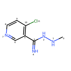 CNNC(=N)c1cnccc1Cl